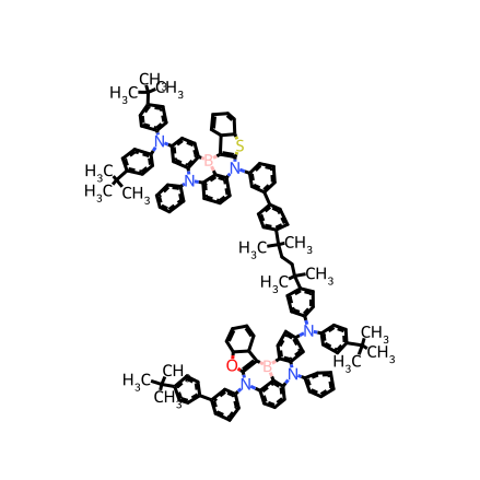 CC(C)(C)c1ccc(-c2cccc(N3C4=C(B5c6ccc(N(c7ccc(C(C)(C)C)cc7)c7ccc(C(C)(C)CCC(C)(C)c8ccc(-c9cccc(N%10C%11=C(B%12c%13ccc(N(c%14ccc(C(C)(C)C)cc%14)c%14ccc(C(C)(C)C)cc%14)cc%13N(c%13ccccc%13)c%13cccc%10c%13%12)C%10C=CC=CC%10S%11)c9)cc8)cc7)cc6N(c6ccccc6)c6cccc3c65)C3C=CC=CC3O4)c2)cc1